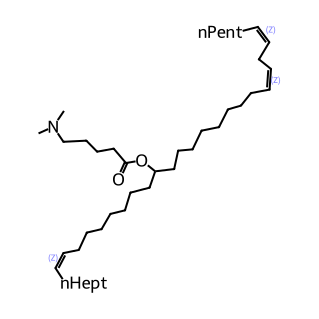 CCCCC/C=C\C/C=C\CCCCCCCCC(CCCCCCC/C=C\CCCCCCC)OC(=O)CCCCN(C)C